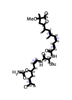 COC1(C)CC(C(C)/C=C(C)/C=C\C=C\C(=O)NC(C(=O)N/C=C\CC(C/C=C(\C)Cl)OC(N)=O)C(C)(C)C)OC1=O